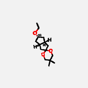 CCO[C@@H]1C[C@@H]2CC3(C[C@@H]2C1)OCC(C)(C)CO3